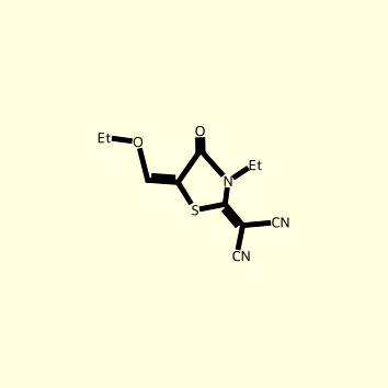 CCO/C=c1/sc(=C(C#N)C#N)n(CC)c1=O